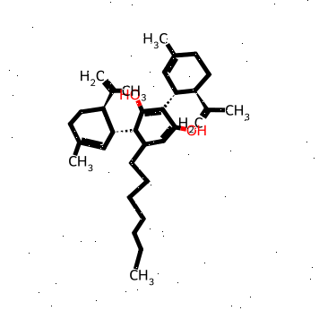 C=C(C)[C@@H]1CCC(C)=C[C@H]1C1=C(O)C([C@@H]2C=C(C)CC[C@H]2C(=C)C)C(CCCCCCC)C=C1O